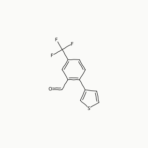 O=Cc1cc(C(F)(F)F)ccc1-c1ccsc1